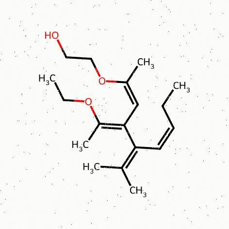 CC/C=C\C(=C(C)C)C(/C=C(/C)OCCO)=C(\C)OCC